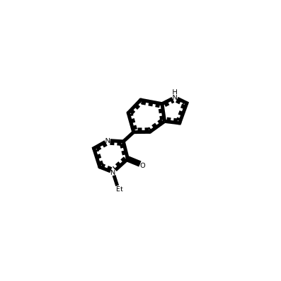 CCn1ccnc(-c2ccc3[nH]ccc3c2)c1=O